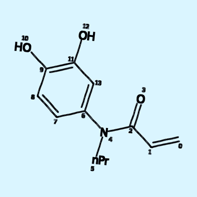 C=CC(=O)N(CCC)c1ccc(O)c(O)c1